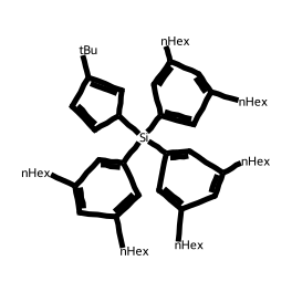 CCCCCCc1cc(CCCCCC)cc([Si]([C]2C=CC(C(C)(C)C)=C2)(c2cc(CCCCCC)cc(CCCCCC)c2)c2cc(CCCCCC)cc(CCCCCC)c2)c1